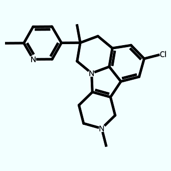 Cc1ccc(C2(C)Cc3cc(Cl)cc4c5c(n(c34)C2)CCN(C)C5)cn1